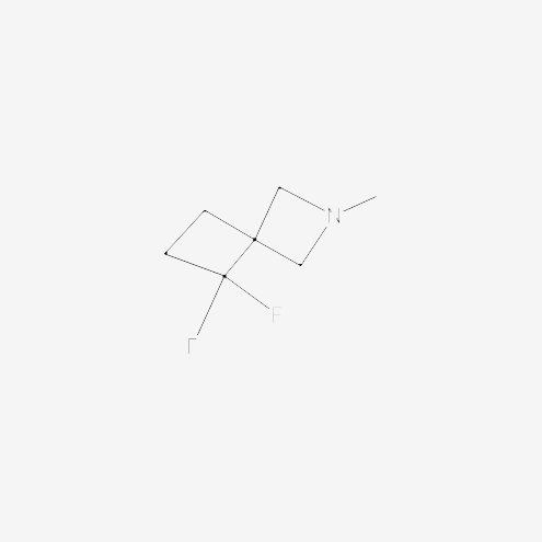 CN1CC2(CCC2(F)F)C1